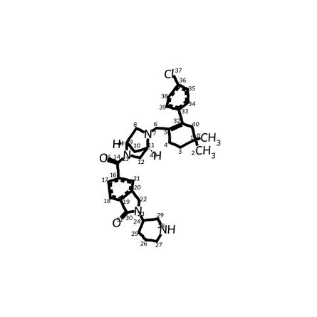 CC1(C)CCC(CN2C[C@H]3C[C@@H]2CN3C(=O)c2ccc3c(c2)CN(C2CCCNC2)C3=O)=C(c2ccc(Cl)cc2)C1